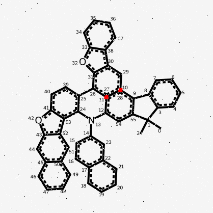 CC1(C)c2ccccc2-c2ccc(N(c3ccc4ccccc4c3)c3c(-c4cccc5c4oc4ccccc45)ccc4oc5cc6ccccc6cc5c34)cc21